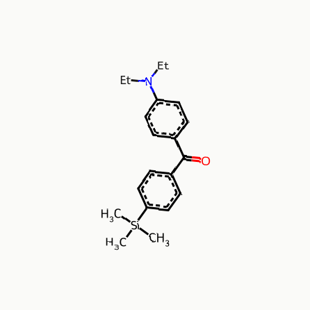 CCN(CC)c1ccc(C(=O)c2ccc([Si](C)(C)C)cc2)cc1